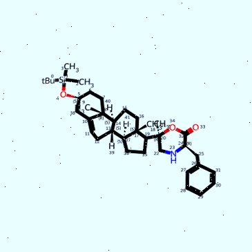 CC(C)(C)[Si](C)(C)O[C@H]1CC[C@@]2(C)C(=CC[C@@H]3[C@@H]2CC[C@]2(C)C([C@]4(C)CN[C@H](Cc5ccccc5)C(=O)O4)CC[C@@H]32)C1